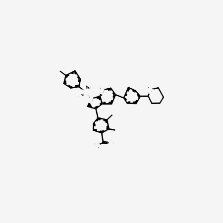 Cc1ccc(S(=O)(=O)n2cc(-c3ccc(C(N)=O)c(C)c3C)c3cc(-c4ccc(C5CCCCN5)cc4)cnc32)cc1